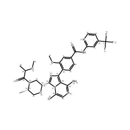 COc1cc(C(=O)Nc2cc(C(F)(F)F)ccn2)ccc1-c1nc([C@H]2CN(C(=O)C(C)OC)[C@@H](C)CO2)n2c(Cl)cnc(N)c12